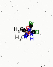 CCN1CCN(C(=O)[C@]2(Sc3ccc(C)cc3)CC(=O)N(Cc3ccc(Br)cc3)[C@H]2c2c[nH]c3cc(Cl)ccc23)CC1